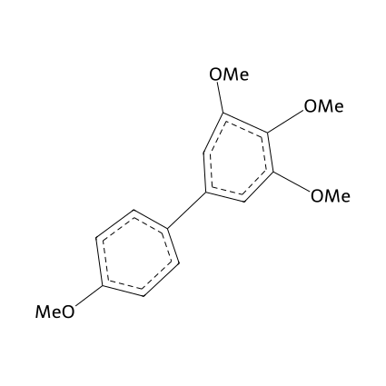 COc1ccc(-c2cc(OC)c(OC)c(OC)c2)cc1